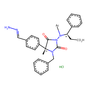 CC(=O)N([C@H](CC(=O)O)c1ccccc1)N1C(=O)N(Cc2ccccc2)[C@](C)(c2ccc(C=NN)cc2)C1=O.Cl